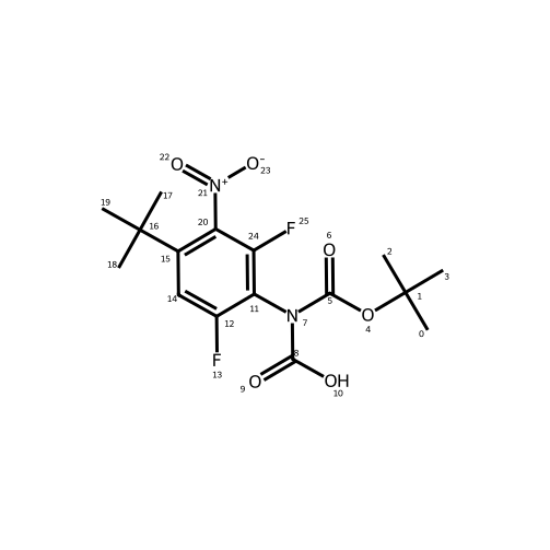 CC(C)(C)OC(=O)N(C(=O)O)c1c(F)cc(C(C)(C)C)c([N+](=O)[O-])c1F